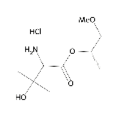 COC[C@H](C)OC(=O)C(N)C(C)(C)O.Cl